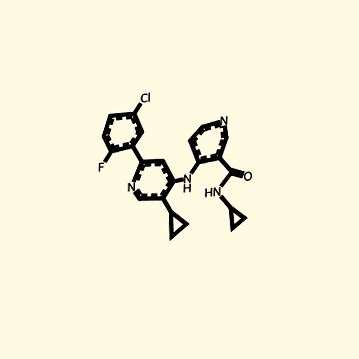 O=C(NC1CC1)c1cnccc1Nc1cc(-c2cc(Cl)ccc2F)ncc1C1CC1